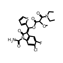 CCN(CC)C(=O)C(OC)C(=O)OC(=C1C(=O)N(C(N)=O)c2cc(Cl)c(F)cc21)c1cccs1